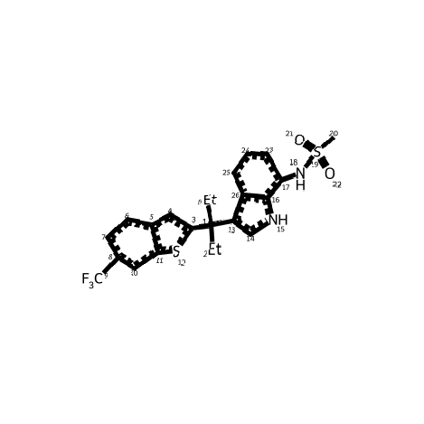 CCC(CC)(c1cc2ccc(C(F)(F)F)cc2s1)c1c[nH]c2c(NS(C)(=O)=O)cccc12